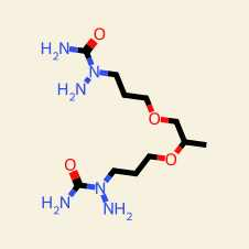 CC(COCCCN(N)C(N)=O)OCCCN(N)C(N)=O